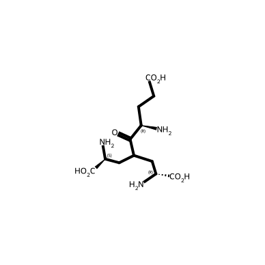 N[C@H](CC(C[C@H](N)C(=O)O)C(=O)[C@H](N)CCC(=O)O)C(=O)O